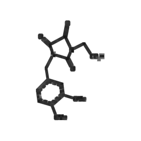 COc1ccc(CN2C(=O)C(=O)N(CC(=O)O)C2=O)cc1OC